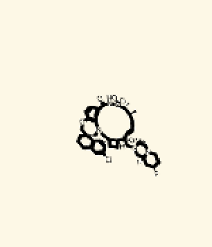 CO[C@@]1(CN2CCN3CC[C@H](F)C[C@@H]3C2)/C=C/C[C@H](C)[C@@H](C)S(=O)(=O)NC(=O)c2ccc3c(c2)N(C[C@@H]2CC[C@H]21)C[C@@]1(CCCc2cc(Cl)ccc21)CO3